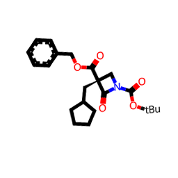 CC(C)(C)OC(=O)N1C[C@@](CC2CCCC2)(C(=O)OCc2ccccc2)C1=O